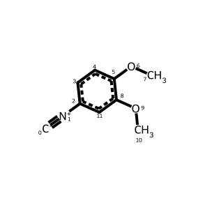 [C-]#[N+]c1ccc(OC)c(OC)c1